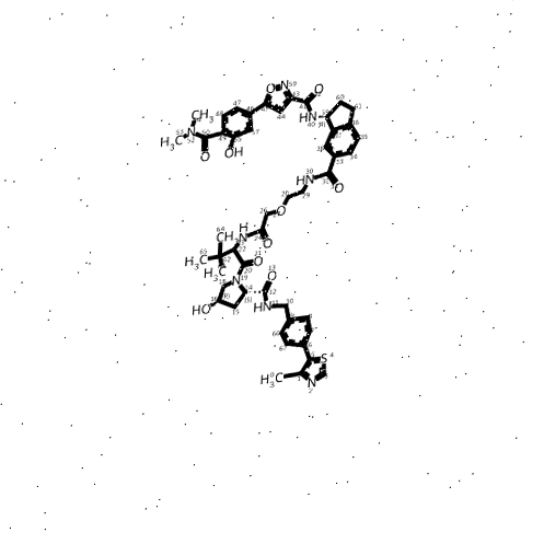 Cc1ncsc1-c1ccc(CNC(=O)[C@@H]2C[C@@H](O)CN2C(=O)C(NC(=O)COCCNC(=O)c2ccc3c(c2)[C@H](NC(=O)c2cc(-c4ccc(C(=O)N(C)C)c(O)c4)on2)CC3)C(C)(C)C)cc1